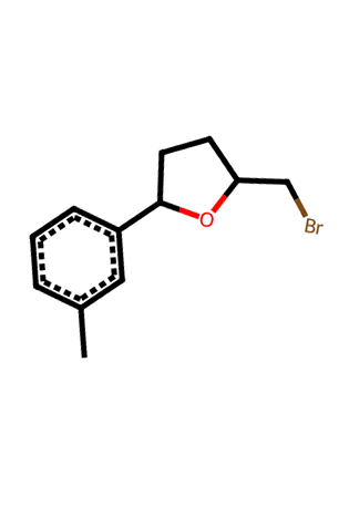 Cc1cccc(C2CCC(CBr)O2)c1